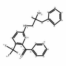 CC(N)(CNc1ccc(C(F)(F)F)c(C(=O)c2cccnc2)n1)Cc1ccccc1